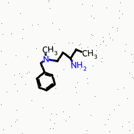 CCC(N)CCN(C)Cc1ccccc1